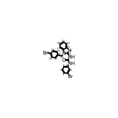 O=C(Nc1cccc(Br)c1)Nc1nc2ccccc2n1Cc1ccc(Br)cc1